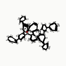 FC(F)(F)c1cccc(-n2c3ccc(-c4ccccc4)cc3c3cc(-c4ccccc4)ccc32)c1-c1ncccc1-n1c2ccc(-c3ccccc3)cc2c2cc(-c3ccccc3)ccc21